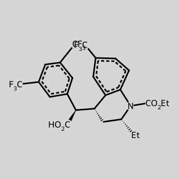 CCOC(=O)N1c2ccc(C(F)(F)F)cc2[C@@H]([C@@H](C(=O)O)c2cc(C(F)(F)F)cc(C(F)(F)F)c2)C[C@H]1CC